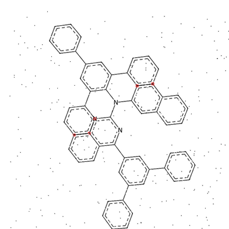 c1ccc(-c2cc(-c3ccccc3)cc(-c3nc(N(c4ccc5ccccc5c4)c4c(-c5ccccc5)cc(-c5ccccc5)cc4-c4ccccc4)nc4ccccc34)c2)cc1